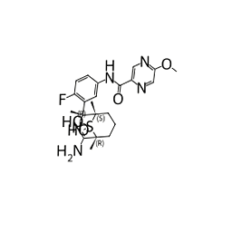 COc1cnc(C(=O)Nc2ccc(F)c([C@@]3(C)N=C(N)[C@@]4(C)CCC[C@]3(C)S4(O)O)c2)cn1